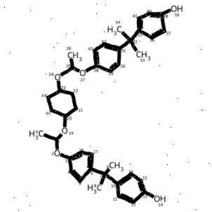 CC(Oc1ccc(C(C)(C)c2ccc(O)cc2)cc1)OC1CCC(OC(C)Oc2ccc(C(C)(C)c3ccc(O)cc3)cc2)CC1